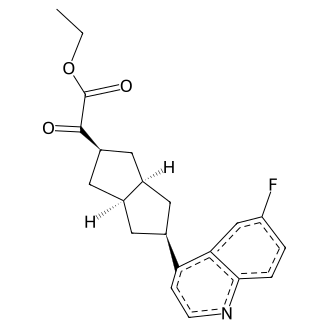 CCOC(=O)C(=O)[C@@H]1C[C@@H]2C[C@H](c3ccnc4ccc(F)cc34)C[C@@H]2C1